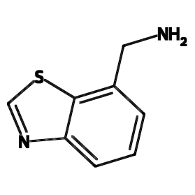 NCc1cccc2ncsc12